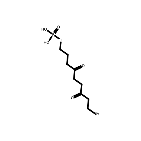 CC(C)CCC(=O)CCC(=O)CCCOP(=O)(O)O